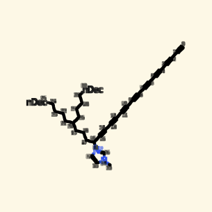 C#CC#CC#CC#CC#CC#CC#CC#CC(CCCC(CCCCCCCCCCCCCC)CCCCCCCCCCCCCC)[n+]1ccn(C)c1